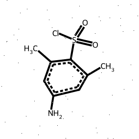 Cc1cc(N)cc(C)c1S(=O)(=O)Cl